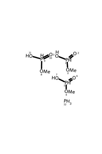 CO[PH](=O)O.CO[PH](=O)O.CO[PH](=O)O.P